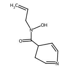 C=CCN(O)C(=O)C1C=CN=CC1